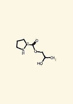 CC(O)COC(=O)[C@@H]1CCCN1